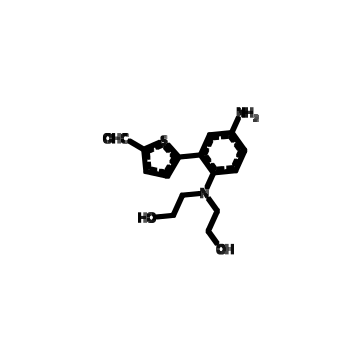 Nc1ccc(N(CCO)CCO)c(-c2ccc(C=O)s2)c1